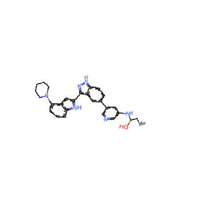 CC(C)(C)CC(O)Nc1cncc(-c2ccc3[nH]nc(-c4cc5c(N6CCCCC6)cccc5[nH]4)c3c2)c1